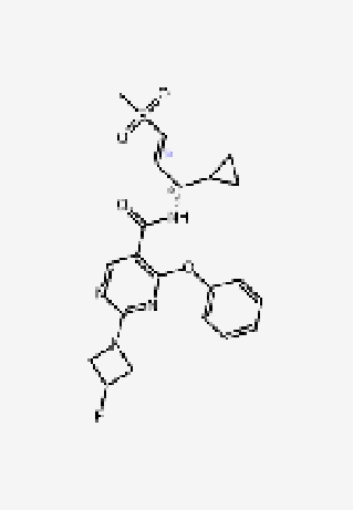 CS(=O)(=O)/C=C/[C@@H](NC(=O)c1cnc(N2CC(F)C2)nc1Oc1ccccc1)C1CC1